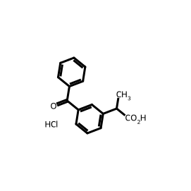 CC(C(=O)O)c1cccc(C(=O)c2ccccc2)c1.Cl